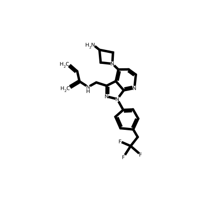 C=CC(=C)NCc1nn(-c2ccc(CC(F)(F)F)cc2)c2nccc(N3CC(N)C3)c12